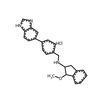 COC1c2ccccc2CC1NCc1ccc(-c2ccc3[nH]cnc3c2)cc1.Cl